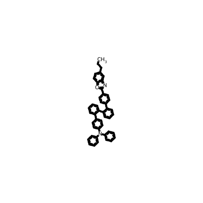 CCCc1ccc2oc(-c3ccc(-c4ccccc4-c4ccccc4-c4ccc(N(c5ccccc5)c5ccccc5)cc4)cc3)nc2c1